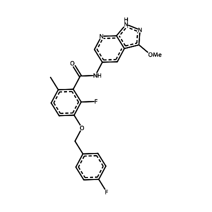 COc1n[nH]c2ncc(NC(=O)c3c(C)ccc(OCc4ccc(F)cc4)c3F)cc12